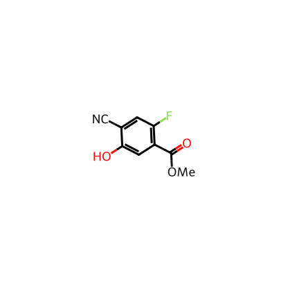 COC(=O)c1cc(O)c(C#N)cc1F